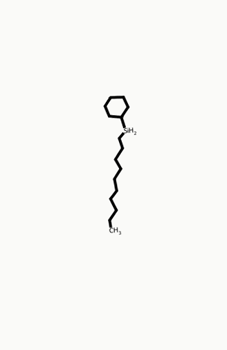 CCCCCCCCCC[SiH2][C]1CC[CH]CC1